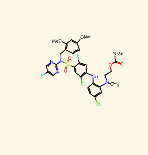 CNC(=O)OCCN(C)c1cc(Cl)ccc1Nc1cc(F)c(S(=O)(=O)N(Cc2ccc(OC)cc2OC)c2ncc(F)cn2)cc1Cl